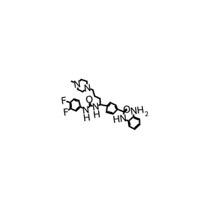 CN1CCN(CCCC(NC(=O)Nc2ccc(F)c(F)c2)c2ccc(C(=O)Nc3ccccc3N)cc2)CC1